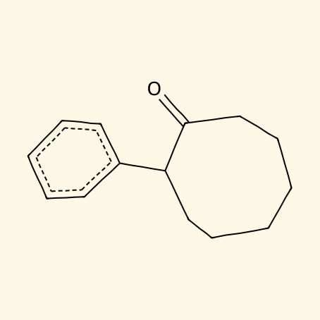 O=C1CCCCCCC1c1ccccc1